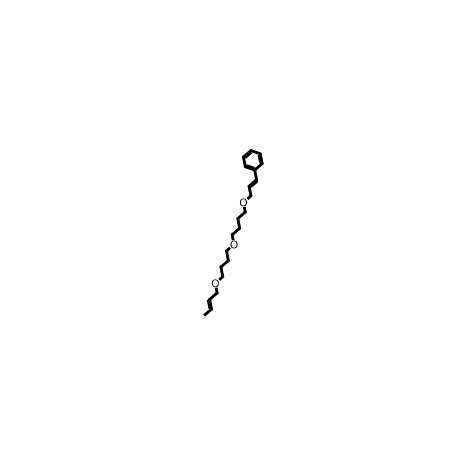 C/C=C/COCCCCOCCCCOC/C=C/c1ccccc1